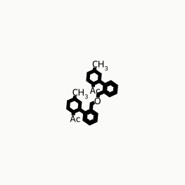 CC(=O)C1CCC(C)CC1c1ccccc1COCc1ccccc1C1CC(C)CCC1C(C)=O